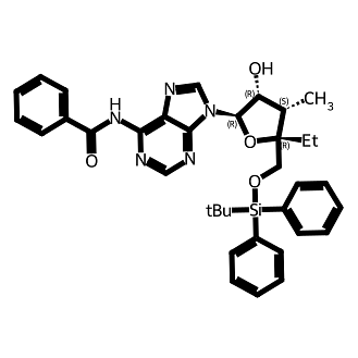 CC[C@@]1(CO[Si](c2ccccc2)(c2ccccc2)C(C)(C)C)O[C@@H](n2cnc3c(NC(=O)c4ccccc4)ncnc32)[C@H](O)[C@@H]1C